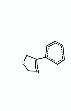 c1ccc(C2=NCOC2)cc1